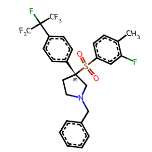 Cc1ccc(S(=O)(=O)[C@@]2(c3ccc(C(F)(C(F)(F)F)C(F)(F)F)cc3)CCN(Cc3ccccc3)C2)cc1F